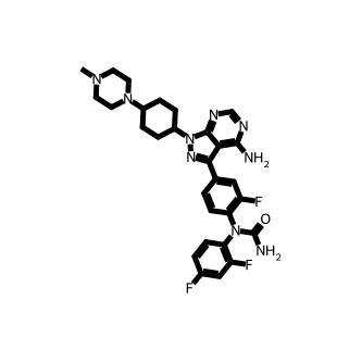 CN1CCN(C2CCC(n3nc(-c4ccc(N(C(N)=O)c5ccc(F)cc5F)c(F)c4)c4c(N)ncnc43)CC2)CC1